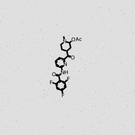 CC(=O)OC1CC(C(=O)c2cccc(NC(=O)c3c(F)cc(F)cc3F)n2)CCN1C